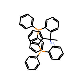 CC(N)(c1ccccc1P(c1ccccc1)c1ccccc1)c1ccccc1P(c1ccccc1)c1ccccc1